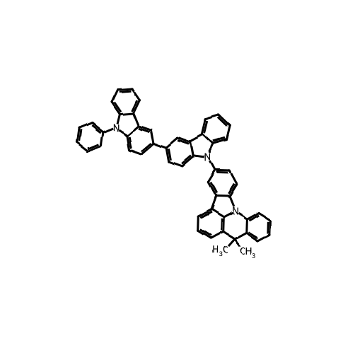 CC1(C)c2ccccc2-n2c3ccc(-n4c5ccccc5c5cc(-c6ccc7c(c6)c6ccccc6n7-c6ccccc6)ccc54)cc3c3cccc1c32